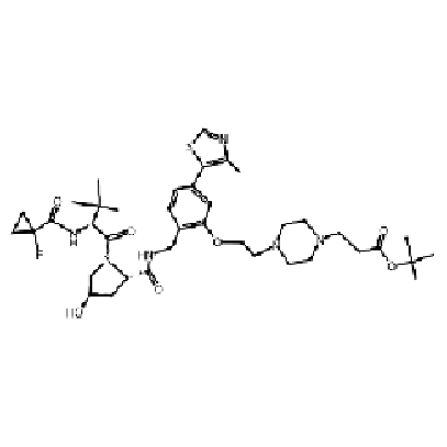 Cc1ncsc1-c1ccc(CNC(=O)[C@@H]2C[C@@H](O)CN2C(=O)[C@@H](NC(=O)C2(F)CC2)C(C)(C)C)c(OCCN2CCN(CCC(=O)OC(C)(C)C)CC2)c1